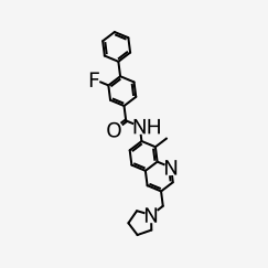 Cc1c(NC(=O)c2ccc(-c3ccccc3)c(F)c2)ccc2cc(CN3CCCC3)cnc12